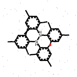 Cc1cc(C)c([SiH](c2c(C)cc(C)cc2C)[SiH](c2c(C)cc(C)cc2C)c2c(C)cc(C)cc2C)c(C)c1